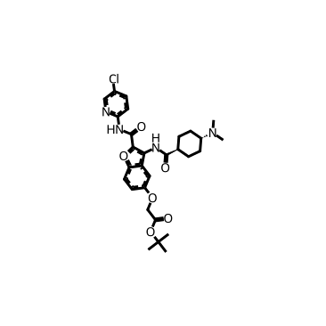 CN(C)[C@H]1CC[C@H](C(=O)Nc2c(C(=O)Nc3ccc(Cl)cn3)oc3ccc(OCC(=O)OC(C)(C)C)cc23)CC1